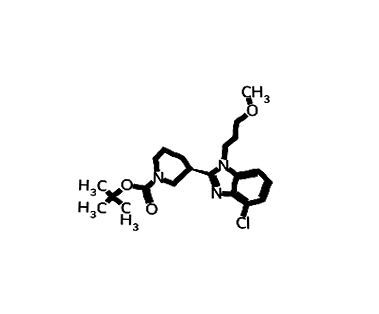 COCCCn1c([C@@H]2CCCN(C(=O)OC(C)(C)C)C2)nc2c(Cl)cccc21